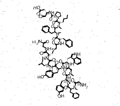 CCCC[C@@H](C(=O)N1CCC[C@@H]1C(=O)N[C@H](C=O)CC(=O)O)N(C)C(=O)C(Cc1ccccc1)N(C)C(=O)[C@H](Cc1ccccc1)NC(=O)CSC[C@H](NC(=O)[C@H](CC(C)C)NC(=O)[C@H](Cc1ccc(O)cc1)NC(=O)[C@H](Cc1c[nH]c2ccccc12)NC(=O)CN(C)C(=O)[C@H](Cc1ccc(O)cc1)NC(=O)C(Cc1ccccc1)N(C)C(=O)[C@H](C)N)C(=O)NCC(N)=O